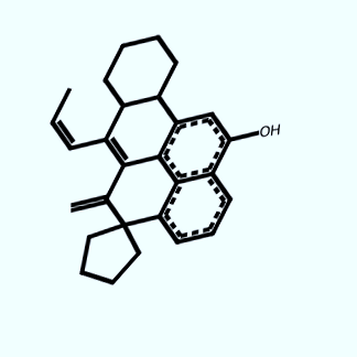 C=C1C2=C(/C=C\C)C3CCCCC3c3cc(O)c4cccc(c4c32)C12CCCC2